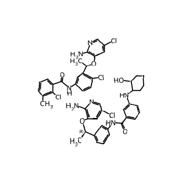 C[C@@H](Oc1cc(Cl)cnc1N)c1cccc(NC(=O)c2cccc(NC3CCCCC3O)c2)c1.Cc1cccc(C(=O)Nc2ccc(Cl)c(C(C)Oc3cc(Cl)cnc3N)c2)c1Cl